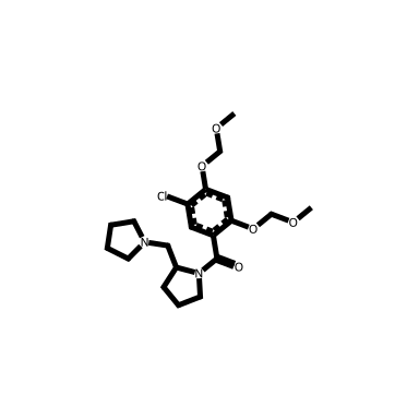 COCOc1cc(OCOC)c(C(=O)N2CCCC2CN2CCCC2)cc1Cl